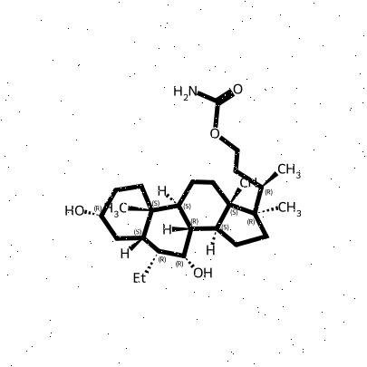 CC[C@H]1[C@@H](O)[C@@H]2[C@H](CC[C@@]3(C)[C@H]2CC[C@]3(C)[C@H](C)CCOC(N)=O)[C@@]2(C)CC[C@@H](O)C[C@@H]12